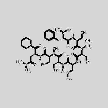 CC(=O)N(C)[C@@H](Cc1ccccc1)C(=O)N[C@H](C(=O)N(C)[C@@H](CC(C)C)C(=O)N[C@@H](COC(C)(C)C)C(=O)N(C)[C@@H](CC(C)C)C(=O)N(C)[C@@H](CC(C)C)C(=O)N[C@@H](CC(=O)N(C)C)C(=O)N1CCCCC1)[C@@H](C)O